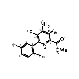 COC(=O)c1nc(-c2cc(F)ccc2F)c(F)c(N)c1Cl